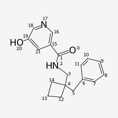 O=C(NCC1(Cc2ccccc2)CCC1)c1cncc(O)c1